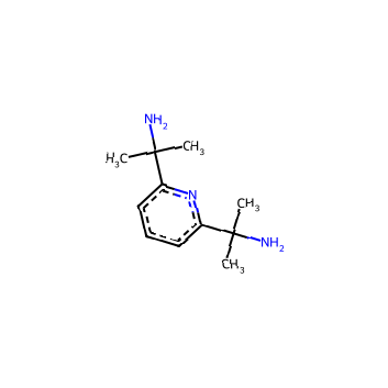 CC(C)(N)c1cccc(C(C)(C)N)n1